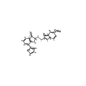 COc1ccn2cc(CCN3Cc4c(cccc4-c4ncco4)C3=O)nc2c1